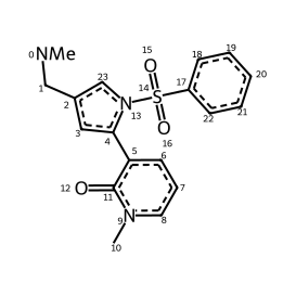 CNCc1cc(-c2cccn(C)c2=O)n(S(=O)(=O)c2ccccc2)c1